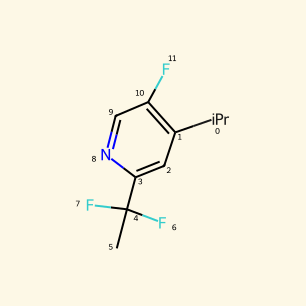 CC(C)c1cc(C(C)(F)F)ncc1F